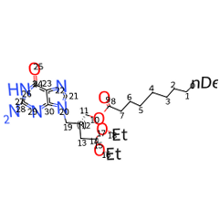 CCCCCCCCCCCCCCCCCC(=O)OC[C@H](CC(OCC)OCC)Cn1cnc2c(=O)[nH]c(N)nc21